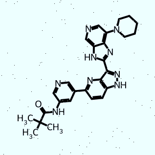 CC(C)(C)C(=O)Nc1cncc(-c2ccc3[nH]nc(-c4nc5c(N6CCCCC6)cncc5[nH]4)c3n2)c1